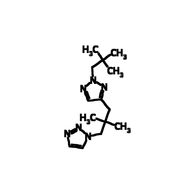 CC(C)(C)Cn1ncc(CC(C)(C)Cn2ccnn2)n1